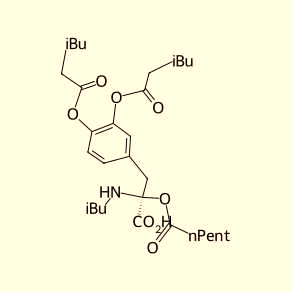 CCCCCC(=O)O[C@](Cc1ccc(OC(=O)CC(C)CC)c(OC(=O)CC(C)CC)c1)(NC(C)CC)C(=O)O